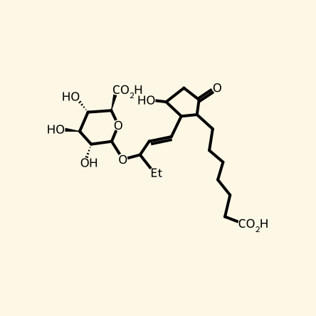 CCC(/C=C/C1C(O)CC(=O)C1CCCCCCC(=O)O)OC1O[C@H](C(=O)O)[C@@H](O)[C@H](O)[C@H]1O